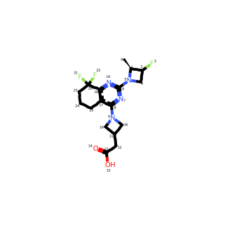 C[C@H]1C(F)CN1c1nc(N2CC(CC(=O)O)C2)c2c(n1)C(F)(F)CCC2